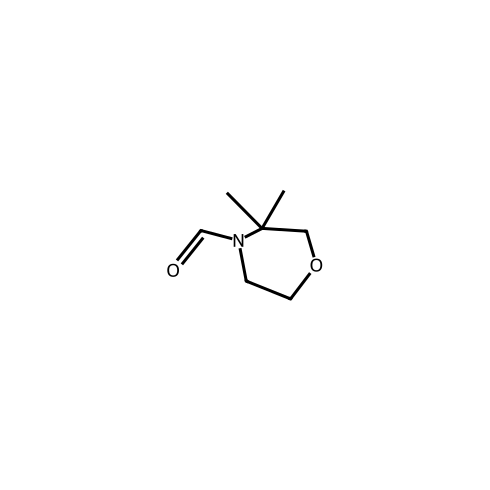 CC1(C)COCCN1C=O